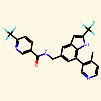 Cc1ccncc1-c1cc(CNC(=O)c2ccc(C(F)(F)F)nc2)cc2cc(C(F)(F)F)[nH]c12